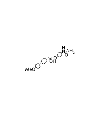 COc1ccc(N2CCN(C[C@H](O)COc3ccc(NC(N)=O)cc3)CC2)cc1